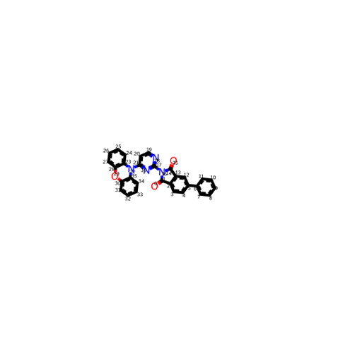 O=C1c2ccc(-c3ccccc3)cc2C(=O)N1c1nccc(N2c3ccccc3Oc3ccccc32)n1